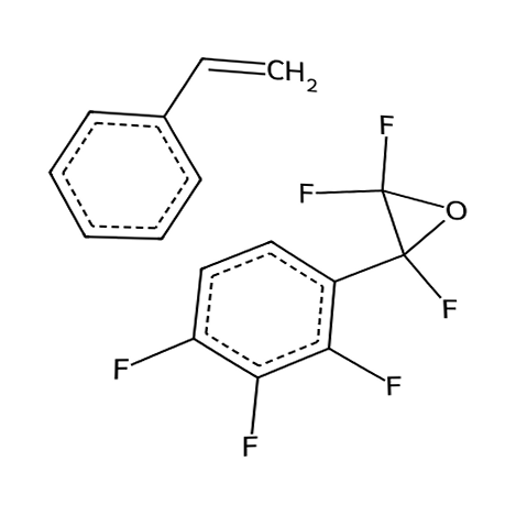 C=Cc1ccccc1.Fc1ccc(C2(F)OC2(F)F)c(F)c1F